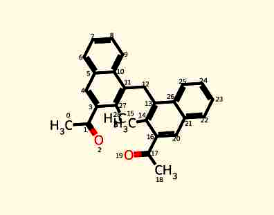 CC(=O)c1cc2ccccc2c(Cc2c(C)c(C(C)=O)cc3ccccc23)c1C